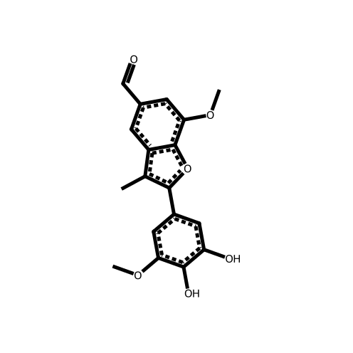 COc1cc(-c2oc3c(OC)cc(C=O)cc3c2C)cc(O)c1O